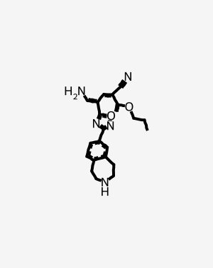 C=C(OCCC)/C(C#N)=C\C(=C/N)c1nc(-c2ccc3c(c2)CCNCC3)no1